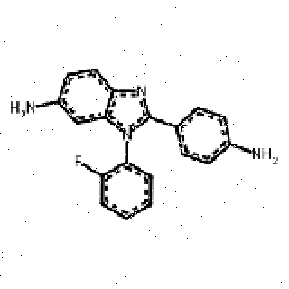 Nc1ccc(-c2nc3ccc(N)cc3n2-c2ccccc2F)cc1